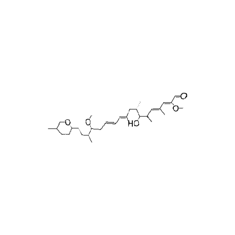 CO/C(C=O)=C\C(C)=C\C(C)C(O)[C@@H](C)C/C(C)=C/C=C/CC(OC)C(C)CCC1CCC(C)CO1